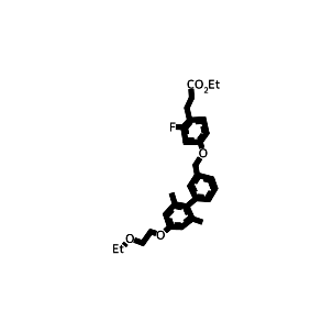 CCOCCOc1cc(C)c(-c2cccc(COc3ccc(CCC(=O)OCC)c(F)c3)c2)c(C)c1